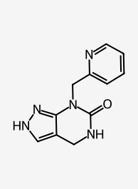 O=C1NCc2c[nH]nc2N1Cc1ccccn1